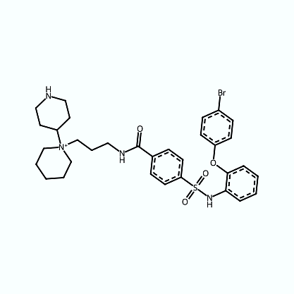 O=C(NCCC[N+]1(C2CCNCC2)CCCCC1)c1ccc(S(=O)(=O)Nc2ccccc2Oc2ccc(Br)cc2)cc1